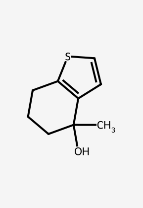 CC1(O)CCCc2sccc21